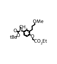 CCOC(=O)COc1ccc(N(C)C(=O)OC(C)(C)C)cc1CCCOC